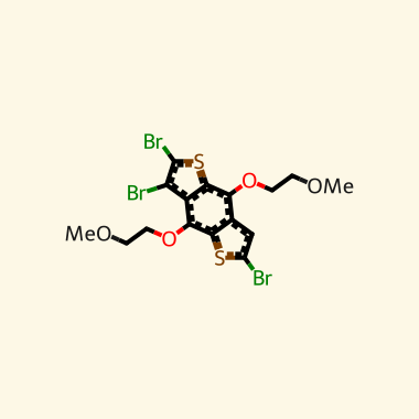 COCCOc1c2cc(Br)sc2c(OCCOC)c2c(Br)c(Br)sc12